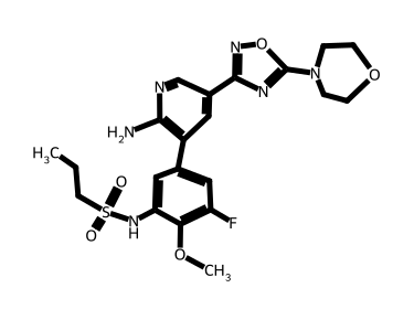 CCCS(=O)(=O)Nc1cc(-c2cc(-c3noc(N4CCOCC4)n3)cnc2N)cc(F)c1OC